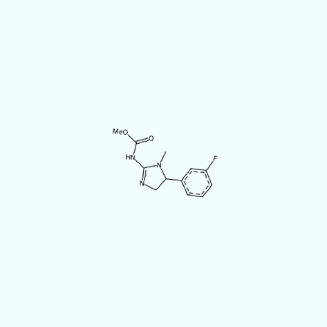 COC(=O)NC1=NCC(c2cccc(F)c2)N1C